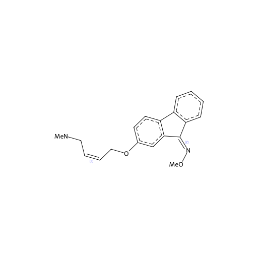 CNC/C=C\COc1ccc2c(c1)/C(=N\OC)c1ccccc1-2